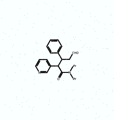 CC(C)N(C(=O)C(c1cccnc1)C(CC=O)c1ccccc1)C(C)C